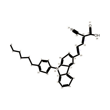 CCCCCCc1ccc(-n2c3ccccc3c3cc(/C=C/C=C(\C#N)C(=O)O)ccc32)cc1